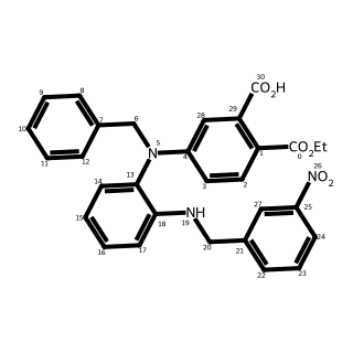 CCOC(=O)c1ccc(N(Cc2ccccc2)c2ccccc2NCc2cccc([N+](=O)[O-])c2)cc1C(=O)O